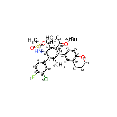 Cc1c(-c2ccc(F)c(Cl)c2)c(NS(C)(=O)=O)c(C)c(C(OC(C)(C)C)C(=O)O)c1-c1ccc2c(c1)CCCO2